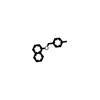 Cc1ccc(COc2cccc3ccccc23)cc1